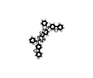 c1ccc(N(c2ccc3c(c2)oc2ccccc23)c2ccc3c(n2)sc2nc(N(c4ccccc4)c4ccc5c(c4)oc4ccccc45)nnc23)cc1